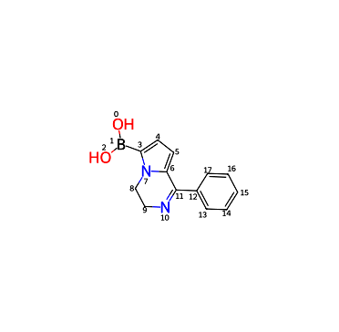 OB(O)c1ccc2n1CCN=C2c1ccccc1